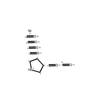 C1CCNC1.[C]=O.[C]=O.[C]=O.[C]=O.[C]=O.[C]=O.[W]